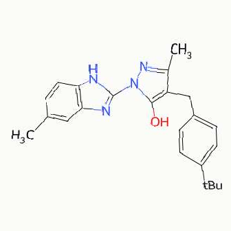 Cc1ccc2[nH]c(-n3nc(C)c(Cc4ccc(C(C)(C)C)cc4)c3O)nc2c1